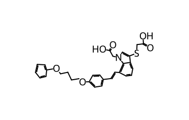 O=C(O)CSc1cn(CC(=O)O)c2c(/C=C/c3ccc(OCCCCOc4ccccc4)cc3)cccc12